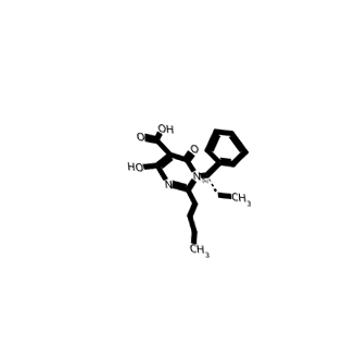 CCCCc1nc(O)c(C(=O)O)c(=O)n1[C@@H](CC)c1ccccc1